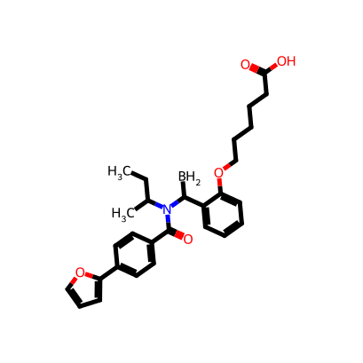 BC(c1ccccc1OCCCCCC(=O)O)N(C(=O)c1ccc(-c2ccco2)cc1)C(C)CC